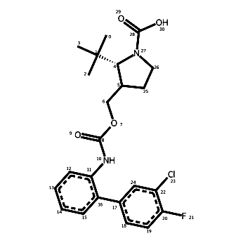 CC(C)(C)[C@H]1C(COC(=O)Nc2ccccc2-c2ccc(F)c(Cl)c2)CCN1C(=O)O